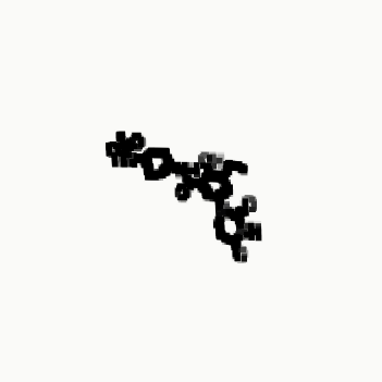 CCc1cc(N2CCC(=O)NC2=O)cc(C(=O)Nc2ccc(NS(C)(=O)=O)cc2)c1O